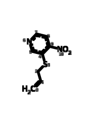 C=CCSc1cnccc1[N+](=O)[O-]